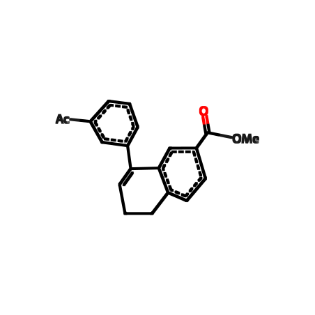 COC(=O)c1ccc2c(c1)C(c1cccc(C(C)=O)c1)=CCC2